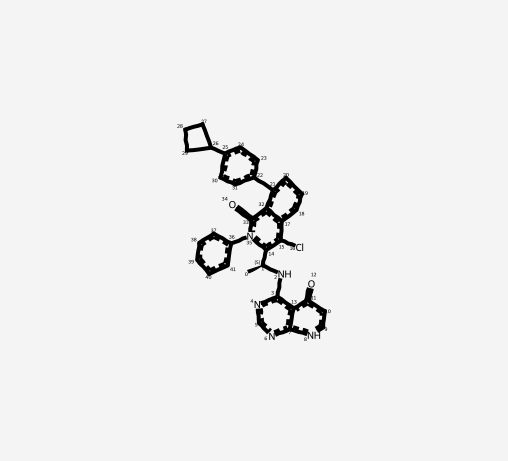 C[C@H](Nc1ncnc2[nH]ccc(=O)c12)c1c(Cl)c2cccc(-c3ccc(C4CCC4)cc3)c2c(=O)n1-c1ccccc1